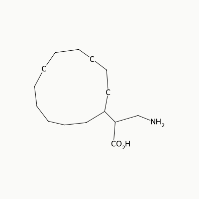 NCC(C(=O)O)C1CCCCCCCCCCC1